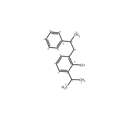 CC(C)c1cccc(CC(C)c2ccccc2)c1Cl